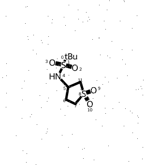 CC(C)(C)S(=O)(=O)NC1CCS(=O)(=O)C1